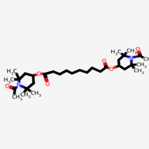 CC(=O)N1C(C)(C)CC(OC(=O)CCCCCCCCC(=O)OC2CC(C)(C)N(C(C)=O)C(C)(C)C2)CC1(C)C